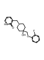 O=c1[nH]cccc1CN1CCC(O)(COc2ccccc2F)CC1